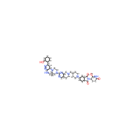 O=C1CCC(N2C(=O)c3ccc(N4CCC(CN5CCc6cnc(N7CCN8c9cc(-c%10ccccc%10O)nnc9NC[C@H]8C7)nc6C5)CC4)cc3C2=O)C(=O)N1